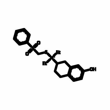 CC[N+](CC)(SCS(=O)(=O)c1ccccc1)C1CCc2ccc(O)cc2C1